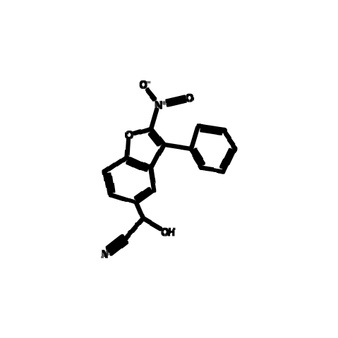 N#CC(O)c1ccc2oc([N+](=O)[O-])c(-c3ccccc3)c2c1